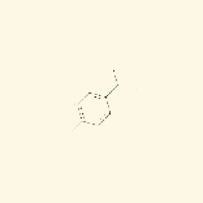 [CH2][C@@H](C)c1ccc(Cl)cc1